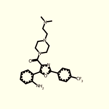 CN(C)CCN1CCN(C(=O)c2nc(-c3ccc(C(F)(F)F)cc3)oc2-c2ccccc2N)CC1